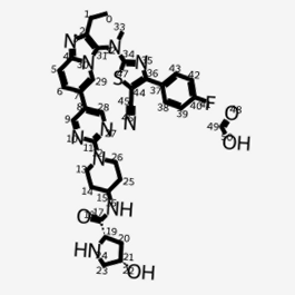 CCc1nc2ccc(-c3cnc(N4CCC(NC(=O)[C@@H]5C[C@H](O)CN5)CC4)nc3)cn2c1N(C)c1nc(-c2ccc(F)cc2)c(C#N)s1.O=CO